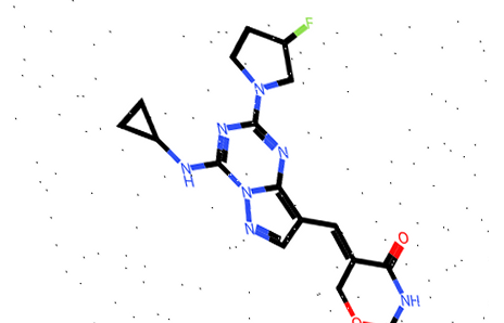 O=C1NCOC/C1=C\c1cnn2c(NC3CC3)nc(N3CCC(F)C3)nc12